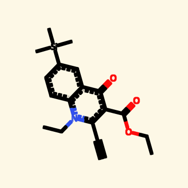 C#Cc1c(C(=O)OCC)c(=O)c2cc([Si](C)(C)C)ccc2n1CC